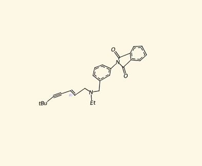 CCN(C/C=C/C#CC(C)(C)C)Cc1cccc(N2C(=O)c3ccccc3C2=O)c1